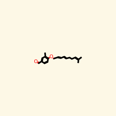 CC(C)=CCCC=CC=CCOc1ccc(C=O)cc1C